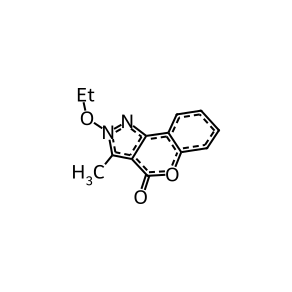 CCOn1nc2c(c1C)c(=O)oc1ccccc12